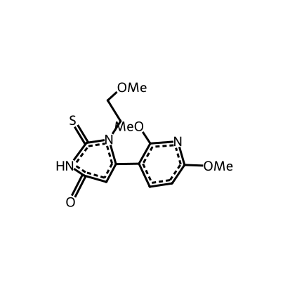 COCCn1c(-c2ccc(OC)nc2OC)cc(=O)[nH]c1=S